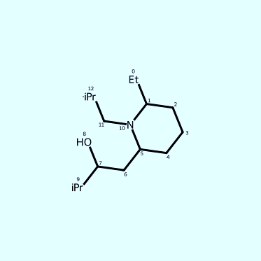 CCC1CCCC(CC(O)C(C)C)N1C[C](C)C